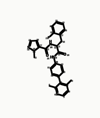 Cc1ccnc(C)c1-c1ccc(NC(=O)[C@H](Cc2ccccc2F)NC(=O)c2ccnn2C)cc1